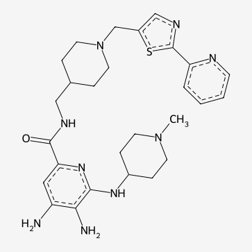 CN1CCC(Nc2nc(C(=O)NCC3CCN(Cc4cnc(-c5ccccn5)s4)CC3)cc(N)c2N)CC1